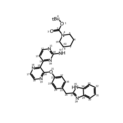 CC(C)(C)OC(=O)N1CCC[C@H](Nc2nccc(-c3nccnc3Oc3ccc(Cc4nc5ccccc5[nH]4)cc3)n2)C1